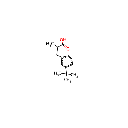 CC(Cc1cccc(C(C)(C)C)c1)C(=O)O